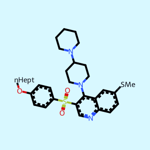 CCCCCCCOc1ccc(S(=O)(=O)c2cnc3ccc(SC)cc3c2N2CCC(N3CCCCC3)CC2)cc1